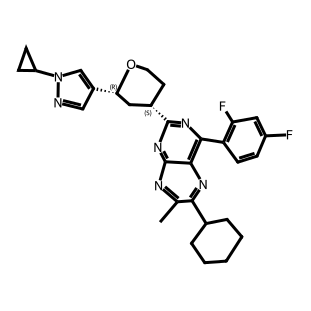 Cc1nc2nc([C@H]3CCO[C@@H](c4cnn(C5CC5)c4)C3)nc(-c3ccc(F)cc3F)c2nc1C1CCCCC1